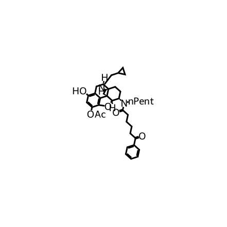 CCCCCN(C(=O)CCCCC(=O)c1ccccc1)[C@@H]1CC[C@H]2[C@H]3Cc4c(O)cc(OC(C)=O)c5c4[C@@]2(CCN3CC2CC2)[C@H]1O5